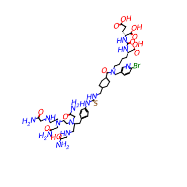 NC(=O)CNCCN(CCN(CC(N)=O)C(CNCC(N)O)Cc1ccc(NC(=S)NCC2CCC(C(=O)N(CCCC[C@@H](NC(=O)N[C@H](CCC(=O)O)C(=O)O)C(=O)O)Cc3ccc(Br)nc3)CC2)cc1)CC(N)=O